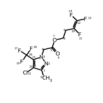 Cc1nn(CC(=O)OCCC(F)=C(F)F)c(C(F)(F)F)c1Cl